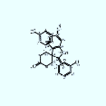 O=C1C[C@H](c2cccc(Cl)c2)C2(C(=O)Nc3cc(Cl)ccc32)[C@H](c2cccc(Cl)c2)C1